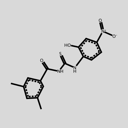 Cc1cc(C)cc(C(=O)NC(=S)Nc2ccc([N+](=O)[O-])cc2O)c1